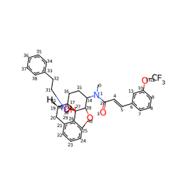 CN(C(=O)/C=C/c1cccc(OC(F)(F)F)c1)C1CC[C@@]2(O)[C@H]3Cc4cccc5c4[C@@]2(CCN3CCc2ccccc2)C1O5